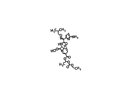 CCOC(=O)OC(C)OC(=O)C1=CN2C(=O)C(NC(=O)C(=NOCC(C)C)c3csc(N)n3)[C@H]2SC1.Cl